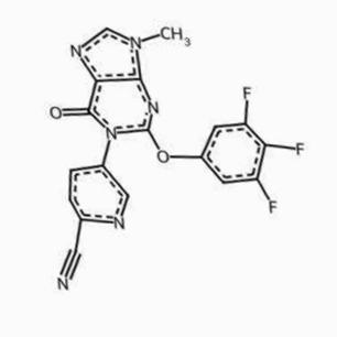 Cn1cnc2c(=O)n(-c3ccc(C#N)nc3)c(Oc3cc(F)c(F)c(F)c3)nc21